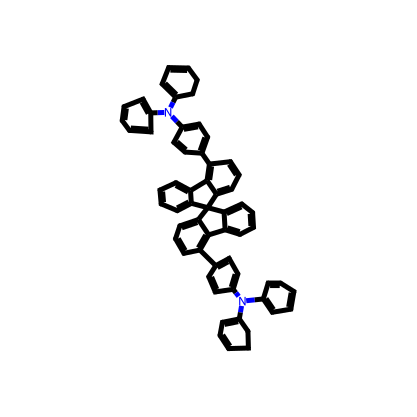 C1=CCCC(N(c2ccccc2)c2ccc(-c3cccc4c3-c3ccccc3C43c4ccccc4-c4c(-c5ccc(N(C6=CC=CCC6)c6ccccc6)cc5)cccc43)cc2)=C1